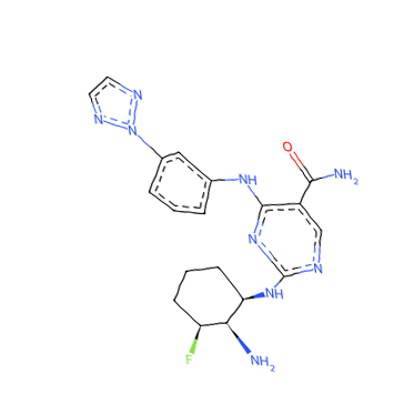 NC(=O)c1cnc(N[C@@H]2CCC[C@H](F)[C@@H]2N)nc1Nc1cccc(-n2nccn2)c1